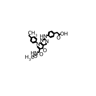 CCc1ccc(-n2cc(C(=O)NOC)c(=O)c3cnc(Nc4ccc(CC(=O)O)cc4)nc32)cc1